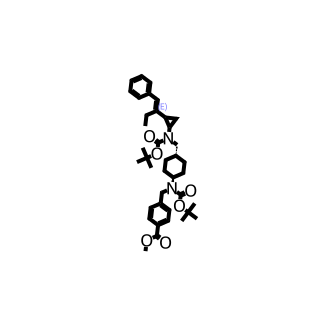 CC/C(=C\c1ccccc1)C1CC1N(C[C@H]1CC[C@H](N(Cc2ccc(C(=O)OC)cc2)C(=O)OC(C)(C)C)CC1)C(=O)OC(C)(C)C